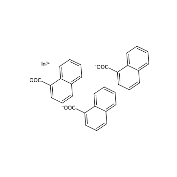 O=C([O-])c1cccc2ccccc12.O=C([O-])c1cccc2ccccc12.O=C([O-])c1cccc2ccccc12.[In+3]